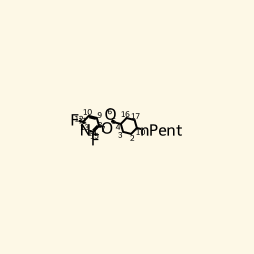 CCCCCC1CCC(C(=O)Oc2ccc(F)nc2F)CC1